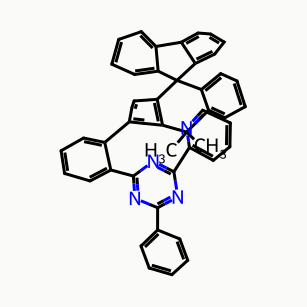 CC1(C)c2ccccc2C2(c3ccccc3-c3ccccc32)c2ccc(-c3ccccc3-c3nc(-c4ccccc4)nc(-c4ccccn4)n3)cc21